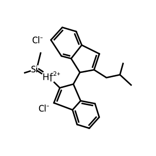 CC(C)CC1=Cc2ccccc2C1C1[C]([Hf+2]=[Si](C)C)=Cc2ccccc21.[Cl-].[Cl-]